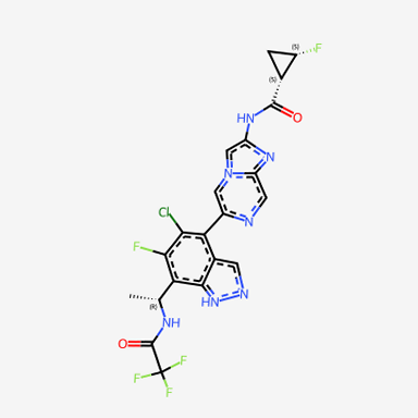 C[C@@H](NC(=O)C(F)(F)F)c1c(F)c(Cl)c(-c2cn3cc(NC(=O)[C@@H]4C[C@@H]4F)nc3cn2)c2cn[nH]c12